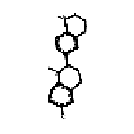 C[C@@H]1c2ccc(Cl)cc2CCC1c1ccc2c(c1)CCC[C@@H]2C